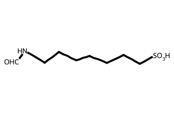 O=CNCCCCCCCS(=O)(=O)O